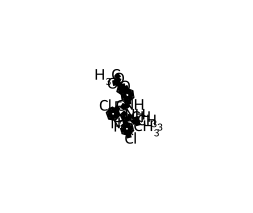 COC(=O)c1cc2cc(NC(=O)[C@@H]3N[C@@H](CC(C)(C)C)[C@](C#N)(c4ccc(Cl)cc4F)[C@H]3c3cccc(Cl)c3F)ccc2o1